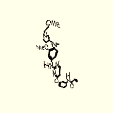 C=CC(=O)Nc1cccc(Oc2ccnc(Nc3ccc(N(C)[C@H]4CCN(CCOC)C4)c(OC)c3)n2)c1